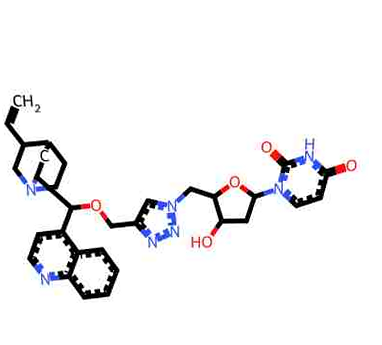 C=CC1CN2CCC1CC2C(OCc1cn(CC2OC(n3ccc(=O)[nH]c3=O)CC2O)nn1)c1ccnc2ccccc12